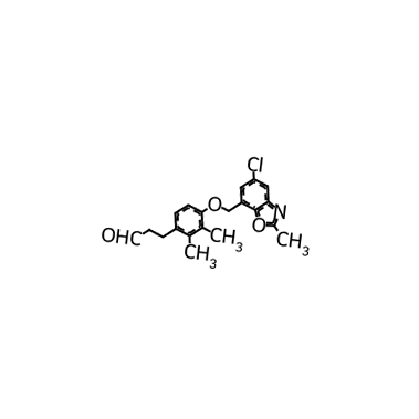 Cc1nc2cc(Cl)cc(COc3ccc(CCC=O)c(C)c3C)c2o1